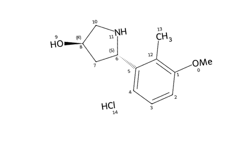 COc1cccc([C@@H]2C[C@@H](O)CN2)c1C.Cl